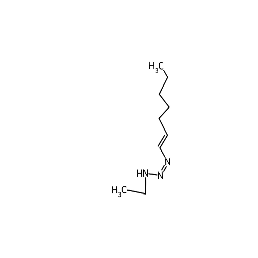 CCCCC/C=C/N=N\NCC